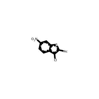 CC(=O)c1sc2cc([N+](=O)[O-])ccc2c1Cl